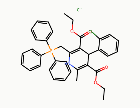 CCOC(=O)C1=C(C)NC(C[P+](c2ccccc2)(c2ccccc2)c2ccccc2)=C(C(=O)OCC)C1c1ccccc1Cl.[Cl-]